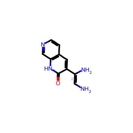 N/C=C(\N)c1cc2ccncc2[nH]c1=O